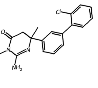 CN1C(=O)CC(C)(c2cccc(-c3ccccc3Cl)c2)N=C1N